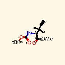 C#CC(C)(C)[C@H](NC(=O)OC(C)(C)C)C(=O)OC